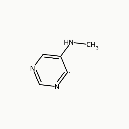 CNc1[c]ncnc1